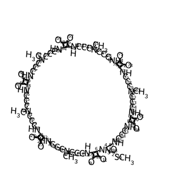 CSCCC1Nc2c(c(=O)c2=O)NCCCN(C)CCCNc2c(c(=O)c2=O)NCCCN(C)CCCNc2c(c(=O)c2=O)NCCCN(C)CCCNc2c(c(=O)c2=O)NCCCN(C)CCCNc2c(c(=O)c2=O)NCCCN(C)CCCNc2c(c(=O)c2=O)NCCCNC1=O